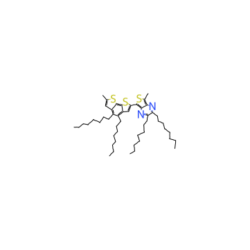 CCCCCCCCc1nc2c(C)sc(-c3cc4c(CCCCCCCC)c(CCCCCCCC)c5cc(C)sc5c4s3)c2nc1CCCCCCCC